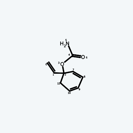 C=CC1(OC(N)=O)C=CC=CC1